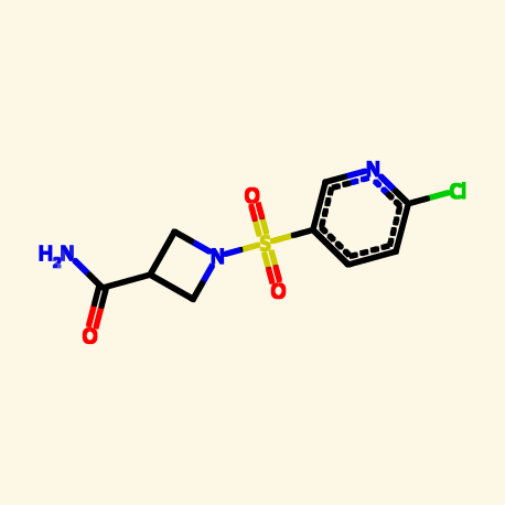 NC(=O)C1CN(S(=O)(=O)c2ccc(Cl)nc2)C1